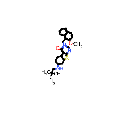 COc1ccc2ccccc2c1Cn1cnc2sc3c(c2c1=O)CCC(NCC(C)(C)C)C3